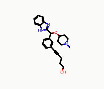 CN1CCC(OC(c2cccc(C#CCCCO)c2)c2nc3ccccc3[nH]2)CC1